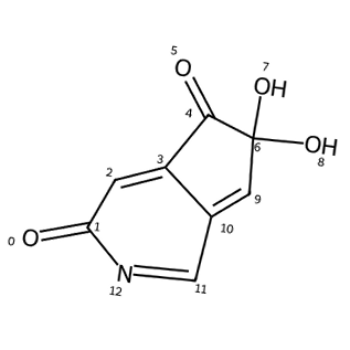 O=C1C=C2C(=O)C(O)(O)C=C2C=N1